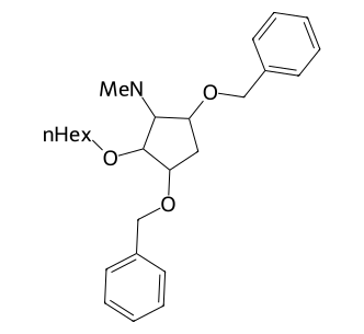 CCCCCCOC1C(OCc2ccccc2)CC(OCc2ccccc2)C1NC